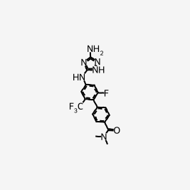 CN(C)C(=O)c1ccc(-c2c(F)cc(Nc3nc(N)n[nH]3)cc2C(F)(F)F)cc1